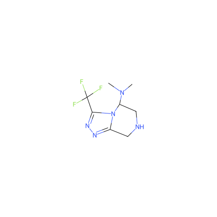 CN(C)C1CNCc2nnc(C(F)(F)F)n21